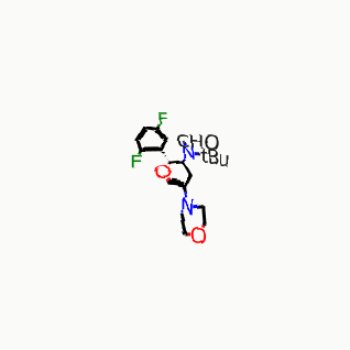 CC(C)(C)N([C]=O)[C@H]1CC(N2CCOCC2)=CO[C@@H]1c1cc(F)ccc1F